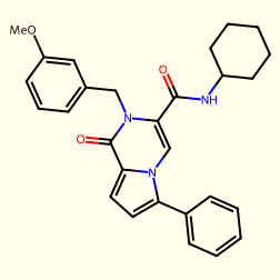 COc1cccc(Cn2c(C(=O)NC3CCCCC3)cn3c(-c4ccccc4)ccc3c2=O)c1